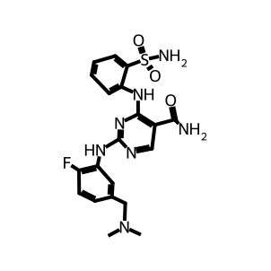 CN(C)Cc1ccc(F)c(Nc2ncc(C(N)=O)c(Nc3ccccc3S(N)(=O)=O)n2)c1